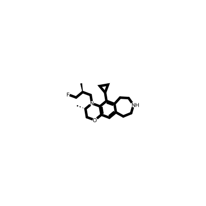 C[C@H](CF)CN1c2c(cc3c(c2C2CC2)CCNCC3)OC[C@@H]1C